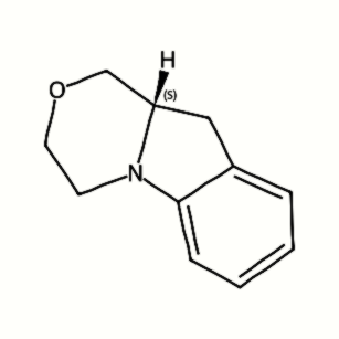 c1ccc2c(c1)C[C@H]1COCCN21